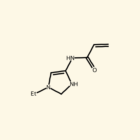 C=CC(=O)NC1=CN(CC)CN1